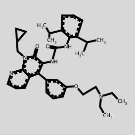 CCN(CC)CCOc1cccc(-c2c(NC(=O)Nc3c(C(C)C)cccc3C(C)C)c(=O)n(CC3CC3)c3ncccc23)c1